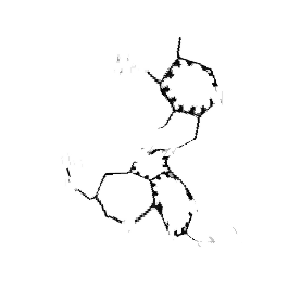 CCCCNC1CSc2nc(N)nc3c2c(nn3Cc2ncc(C)c(OC)c2C)C1